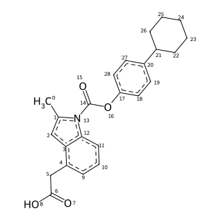 Cc1cc2c(CC(=O)O)cccc2n1C(=O)Oc1ccc(C2CCCCC2)cc1